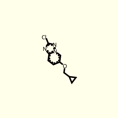 Clc1nc2ccc(OCC3CC3)cn2n1